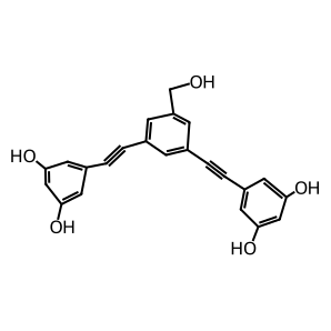 OCc1cc(C#Cc2cc(O)cc(O)c2)cc(C#Cc2cc(O)cc(O)c2)c1